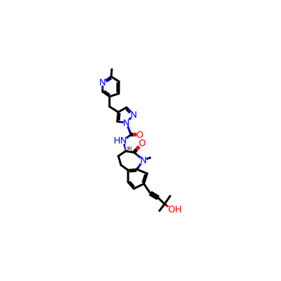 Cc1ccc(Cc2cnn(C(=O)N[C@@H]3CCc4ccc(C#CC(C)(C)O)cc4N(C)C3=O)c2)cn1